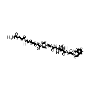 NC(=O)CCCC(=O)NCCOCCOCC(=O)N1CCN(CCNC(=O)CNc2cc(C(=O)NC[C@H](O)CN3CCc4ccccc4C3)ncn2)CC1